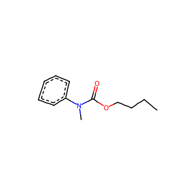 CCCCOC(=O)N(C)c1ccccc1